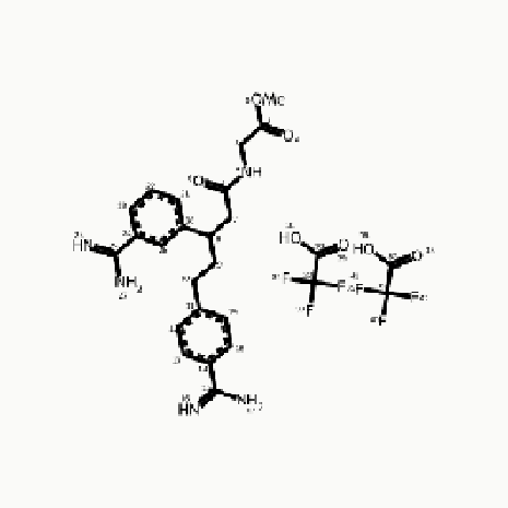 COC(=O)CNC(=O)CC(CCc1ccc(C(=N)N)cc1)c1cccc(C(=N)N)c1.O=C(O)C(F)(F)F.O=C(O)C(F)(F)F